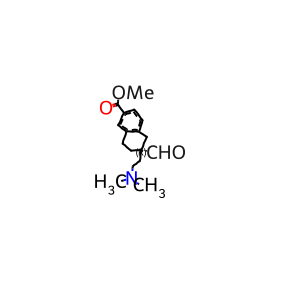 COC(=O)c1ccc2c(c1)CC[C@](C=O)(CCN(C)C)C2